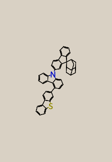 c1ccc2c(c1)-c1ccc(-n3c4ccccc4c4c(-c5ccc6c(c5)sc5ccccc56)cccc43)cc1C21C2CC3CC(C2)CC1C3